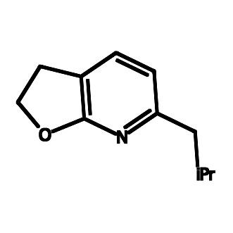 CC(C)Cc1ccc2c(n1)OCC2